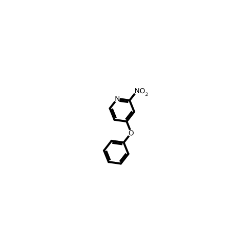 O=[N+]([O-])c1cc(Oc2ccccc2)ccn1